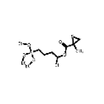 CCO[Si](CCCC(CC)OC(=O)C1(C)CS1)(OCC)OCC